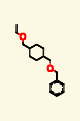 C=COCC1CCC(COCc2ccccc2)CC1